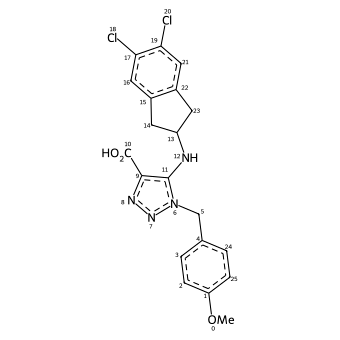 COc1ccc(Cn2nnc(C(=O)O)c2NC2Cc3cc(Cl)c(Cl)cc3C2)cc1